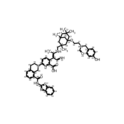 C/C(NCC1(C)CC2(C)CC(C)(C)CC(OCCN(C=O)Cc3ccc(O)cc3)(C1)C2)=C(/C=N)c1ccc(N2CCc3cccc(C(=O)Nc4nc5ccccc5s4)c3C2)nc1C(=O)O